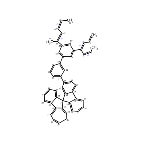 C=C/C=C(\C=C/C)c1cc(-c2cccc(-c3ccc4c(c3)C3(C5=CCC=CC=C5c5ccccc53)c3ccccc3-4)c2)cc(/C(C)=C/C=C\C)n1